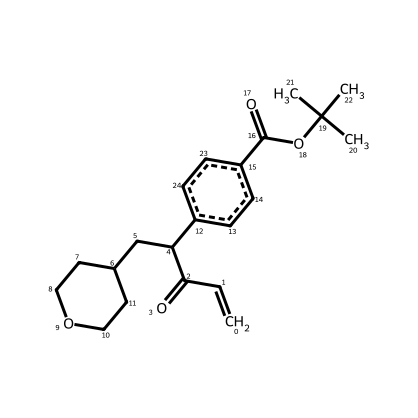 C=CC(=O)C(CC1CCOCC1)c1ccc(C(=O)OC(C)(C)C)cc1